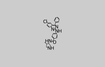 CC1CNCC1NC(=O)c1ccc(Nc2nc(-c3ccccc3)c3cc(Cl)ccc3n2)cc1